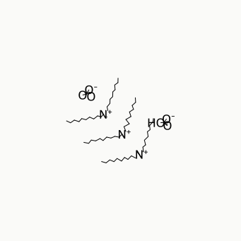 CCCCCCCCCC[N+](C)(C)CCCCCCCCCC.CCCCCCCCCC[N+](C)(C)CCCCCCCCCC.CCCCCCCCCC[N+](C)(C)CCCCCCCCCC.O=C([O-])O.O=C([O-])[O-]